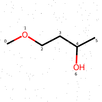 COCCC(C)O